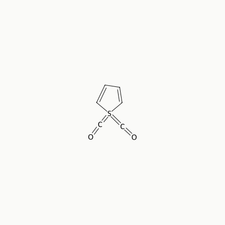 O=C=S1(=C=O)C=CC=C1